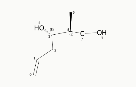 C=CC[C@H](O)[C@@H](C)CO